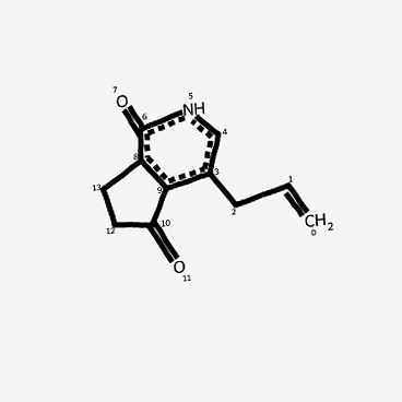 C=CCc1c[nH]c(=O)c2c1C(=O)CC2